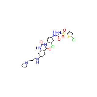 O=C(Nc1ccc(-n2c(=O)[nH]c3cc(NCCCN4CCCC4)ccc3c2=O)c(Cl)c1)NS(=O)(=O)c1ccc(Cl)s1